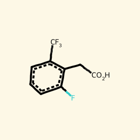 O=C(O)Cc1c(F)cccc1C(F)(F)F